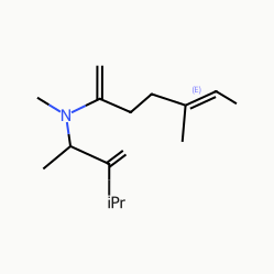 C=C(C(C)C)C(C)N(C)C(=C)CC/C(C)=C/C